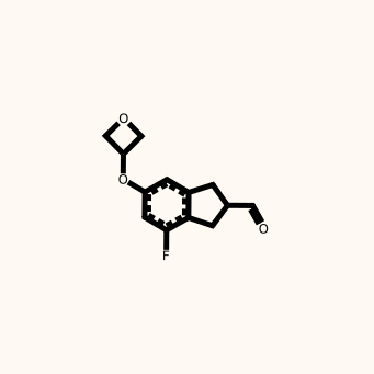 O=CC1Cc2cc(OC3COC3)cc(F)c2C1